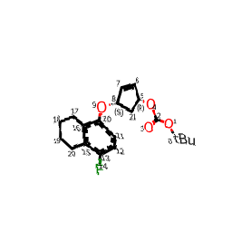 CC(C)(C)OC(=O)O[C@H]1C=C[C@@H](Oc2ccc(F)c3c2CCCC3)C1